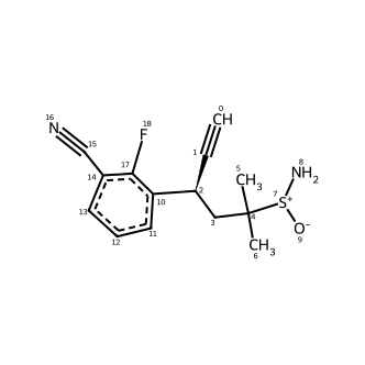 C#C[C@@H](CC(C)(C)[S+](N)[O-])c1cccc(C#N)c1F